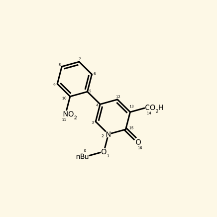 CCCCOn1cc(-c2ccccc2[N+](=O)[O-])cc(C(=O)O)c1=O